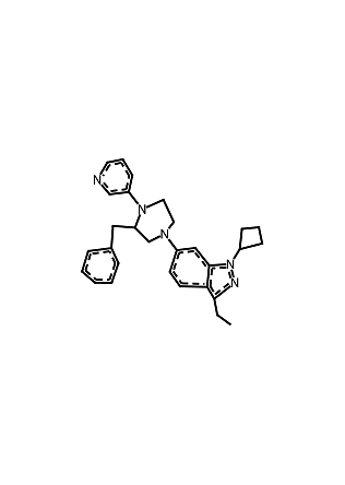 CCc1nn(C2CCC2)c2cc(N3CCN(c4cccnc4)C(Cc4ccccc4)C3)ccc12